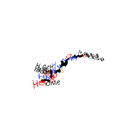 COC(=O)C(CO)NC(=O)C(CO[Si](C)(C)C(C)(C)C)NC(=O)c1csc(-c2ccc(C(=O)NCCCCCO[Si](C)(C)C(C)(C)C)nc2)n1